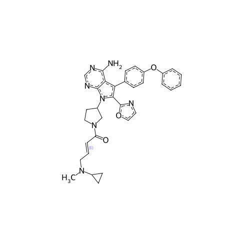 CN(C/C=C/C(=O)N1CCC(n2c(-c3ncco3)c(-c3ccc(Oc4ccccc4)cc3)c3c(N)ncnc32)C1)C1CC1